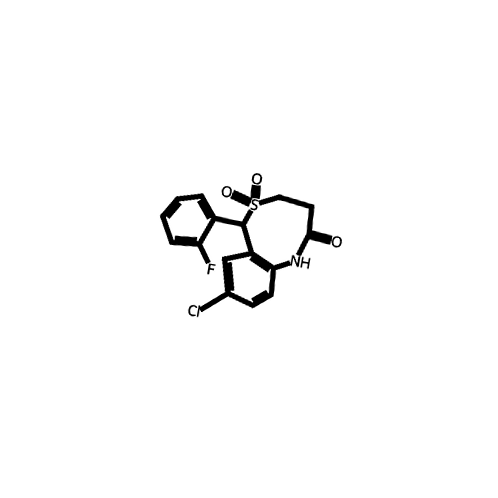 O=C1CCS(=O)(=O)C(c2ccccc2F)c2cc(Cl)ccc2N1